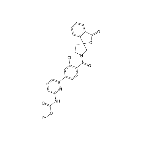 CC(C)OC(=O)Nc1cccc(-c2ccc(C(=O)N3CC[C@@]4(C3)OC(=O)c3ccccc34)c(Cl)c2)n1